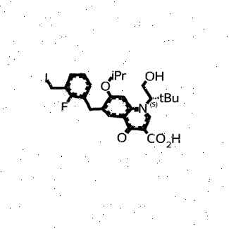 CC(C)Oc1cc2c(cc1Cc1cccc(CI)c1F)c(=O)c(C(=O)O)cn2[C@H](CO)C(C)(C)C